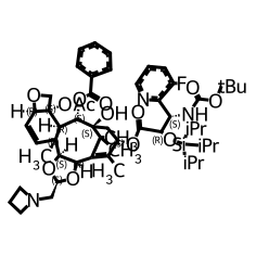 CC(=O)O[C@@]12CO[C@@H]1C=C[C@@]1(C)[C@@H]3O[C@H](CN4CCC4)O[C@@H]3C3=C(C)[C@@H](OC(=O)[C@H](O[Si](C(C)C)(C(C)C)C(C)C)[C@@H](NC(=O)OC(C)(C)C)c4ncccc4F)C[C@@](O)([C@@H](OC(=O)c4ccccc4)[C@@H]12)C3(C)C